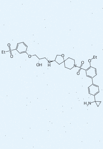 CCOc1ccc(-c2ccc(C3(N)CC3)cc2)cc1S(=O)(=O)N1CCC2(CC1)C[C@@H](NC[C@H](O)COc1cccc(S(=O)(=O)CC)c1)CO2